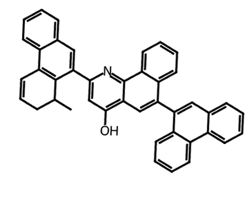 CC1CC=Cc2c1c(-c1cc(O)c3cc(-c4cc5ccccc5c5ccccc45)c4ccccc4c3n1)cc1ccccc21